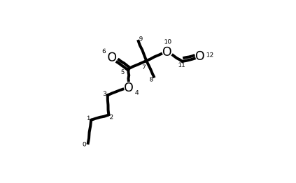 CCCCOC(=O)C(C)(C)OC=O